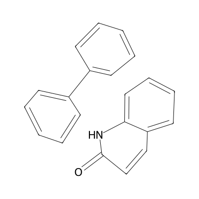 O=c1ccc2ccccc2[nH]1.c1ccc(-c2ccccc2)cc1